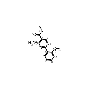 CNC(=O)c1cnc(-c2ccccc2OC)nc1N